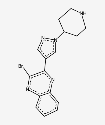 Brc1nc2ccccc2nc1-c1cnn(C2CCNCC2)c1